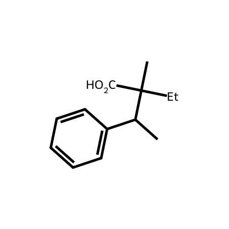 CCC(C)(C(=O)O)C(C)c1ccccc1